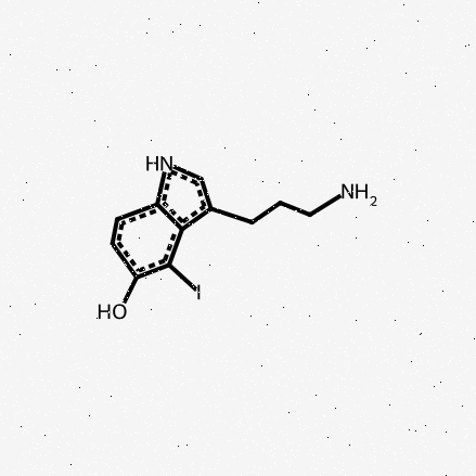 NCCCc1c[nH]c2ccc(O)c(I)c12